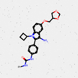 CC(C)NC(=O)Nc1ccc(-c2c(N)c3cc(OCC4COCO4)ccc3n2C2CCC2)cc1